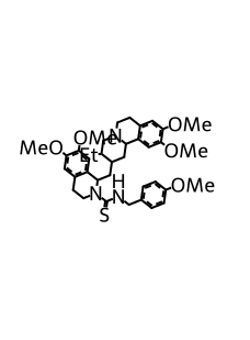 CCC1CN2CCc3cc(OC)c(OC)cc3C2CC1CC1c2cc(OC)c(OC)cc2CCN1C(=S)NCc1ccc(OC)cc1